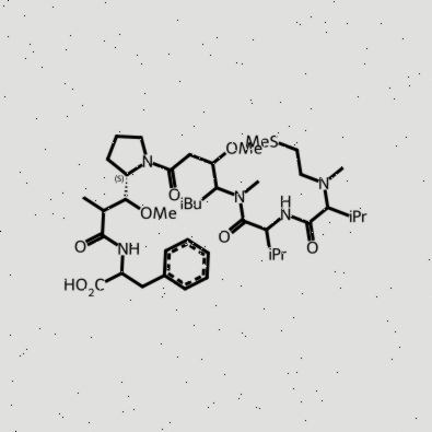 CCC(C)C(C(CC(=O)N1CCC[C@H]1C(OC)C(C)C(=O)NC(Cc1ccccc1)C(=O)O)OC)N(C)C(=O)C(NC(=O)C(C(C)C)N(C)CCSC)C(C)C